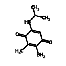 BC1=C(C)C(=O)C(BC(C)C)=CC1=O